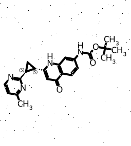 Cc1ccnc([C@H]2C[C@@H]2c2cc(=O)c3ccc(NC(=O)OC(C)(C)C)cc3[nH]2)n1